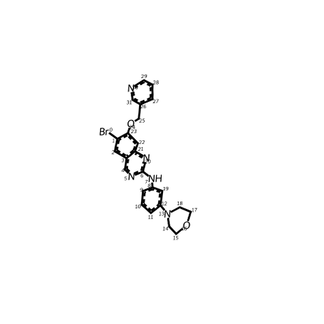 Brc1cc2cnc(Nc3cccc(N4CCOCC4)c3)nc2cc1OCc1cccnc1